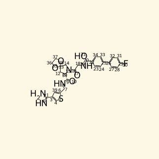 N=C(N)c1csc(CNC(=O)[C@@H]2CC3(CN2C(=O)CNC(O)c2ccc(-c4ccc(F)cc4)cc2)OCCO3)c1